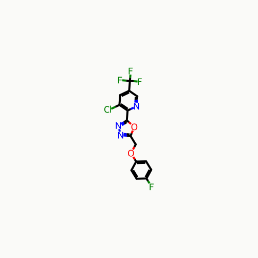 Fc1ccc(OCc2nnc(-c3ncc(C(F)(F)F)cc3Cl)o2)cc1